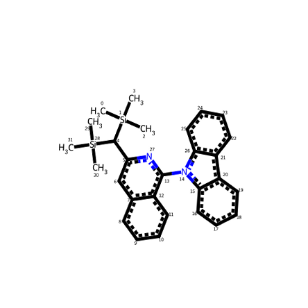 C[Si](C)(C)C(c1cc2ccccc2c(-n2c3ccccc3c3ccccc32)n1)[Si](C)(C)C